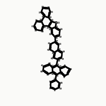 c1ccc(-c2c3ccccc3c(-c3ccc4cc(-c5ccc6oc7c8ccccc8c8ccccc8c7c6c5)ccc4c3)c3ccccc23)cc1